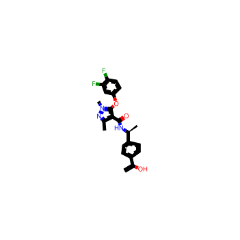 C=C(O)c1ccc([C@H](C)NC(=O)c2c(C)nn(C)c2Oc2ccc(F)c(F)c2)cc1